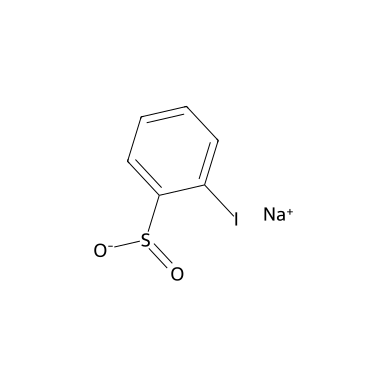 O=S([O-])c1ccccc1I.[Na+]